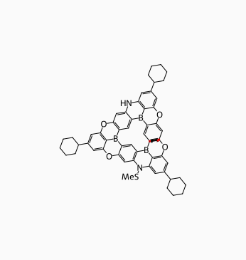 CSN1c2cc3c(cc2B2c4ccccc4Oc4cc(C5CCCCC5)cc1c42)B1c2cc4c(cc2Oc2cc(C5CCCCC5)cc(c21)O3)Nc1cc(C2CCCCC2)cc2c1B4c1ccccc1O2